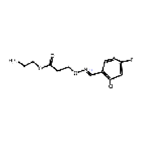 CCCOC(=O)CCO/N=C/c1c[c]c(F)cc1Cl